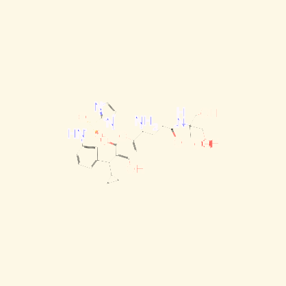 Cn1ccnc1S(=O)(=O)Nc1cccc(C(c2c(O)cc(C(N)CCC(=O)NC(CO)(CO)CO)oc2=O)C2CC2)c1